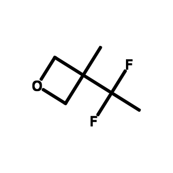 CC(F)(F)C1(C)COC1